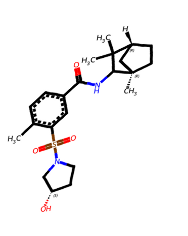 Cc1ccc(C(=O)NC2C(C)(C)[C@@H]3CC[C@]2(C)C3)cc1S(=O)(=O)N1CC[C@H](O)C1